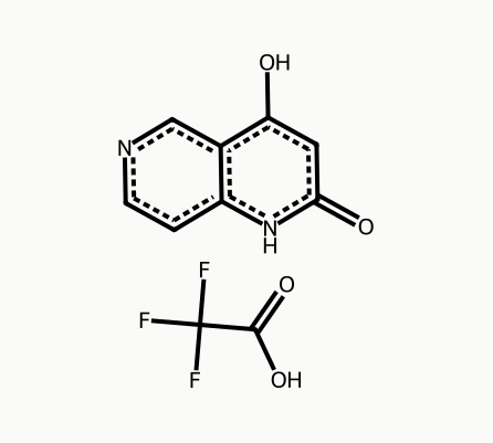 O=C(O)C(F)(F)F.O=c1cc(O)c2cnccc2[nH]1